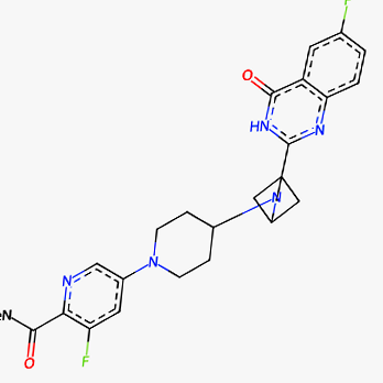 CNC(=O)c1ncc(N2CCC(N3CC4(c5nc6ccc(F)cc6c(=O)[nH]5)CC3C4)CC2)cc1F